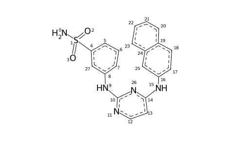 NS(=O)(=O)c1cccc(Nc2nccc(Nc3ccc4ccccc4c3)n2)c1